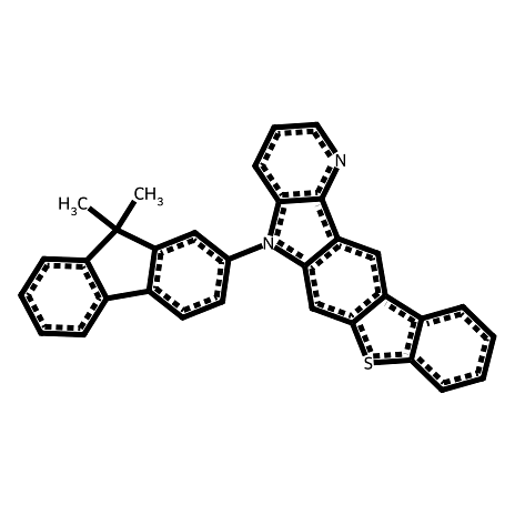 CC1(C)c2ccccc2-c2ccc(-n3c4cc5sc6ccccc6c5cc4c4ncccc43)cc21